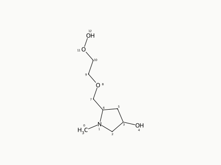 CN1CC(O)CC1COCCOO